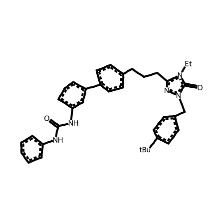 CCn1c(CCCc2ccc(-c3cccc(NC(=O)Nc4ccccc4)c3)cc2)nn(Cc2ccc(C(C)(C)C)cc2)c1=O